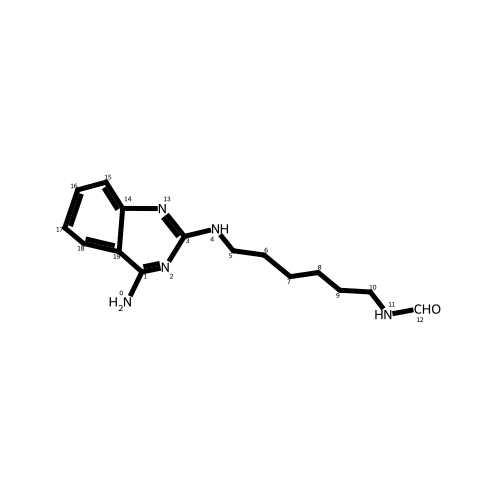 Nc1nc(NCCCCCCNC=O)nc2ccccc12